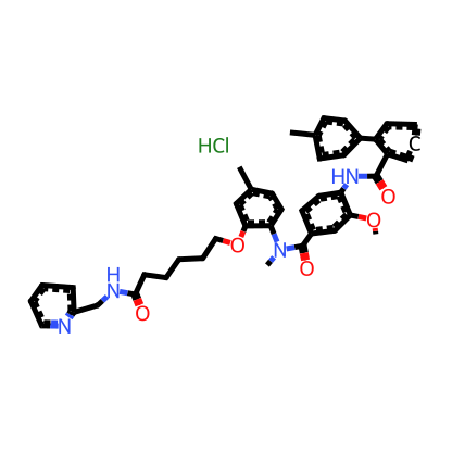 COc1cc(C(=O)N(C)c2ccc(C)cc2OCCCCCC(=O)NCc2ccccn2)ccc1NC(=O)c1ccccc1-c1ccc(C)cc1.Cl